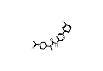 CC(=O)N1CCC(N(C)C(=O)Nc2cnc(-c3cccc(Cl)c3)cn2)CC1